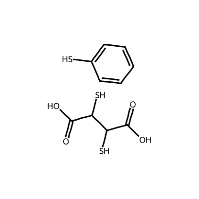 O=C(O)C(S)C(S)C(=O)O.Sc1ccccc1